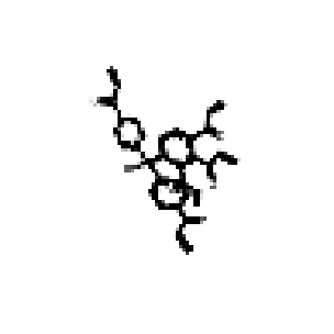 C=CC(=O)c1ccc(C(O)(c2ccc(C(=O)C=C)cc2)c2ccc(C(=O)C=C)c(C(=O)C=C)c2C(=O)C=C)cc1